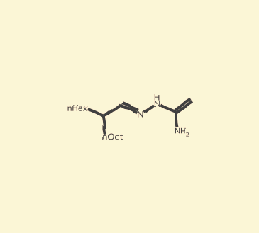 C=C(N)N/N=C/C(CCCCCC)CCCCCCCC